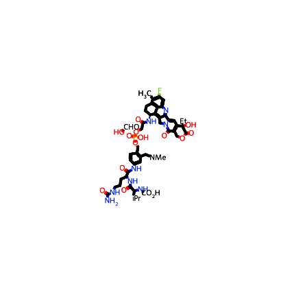 CC[C@@]1(O)C(=O)OCc2c1cc1n(c2=O)Cc2c-1nc1cc(F)c(C)c3c1c2[C@@H](NC(=O)COP(=O)(O)OCc1ccc(NC(=O)C(CCCNC(N)=O)NC(=O)C(NC(=O)O)C(C)C)cc1CNC)CC3.O=CO